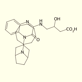 O=C(O)CC(O)CNc1nc2ccccc2n(C2CC3CCC(C2)N3C2CCCCCCC2)c1=O